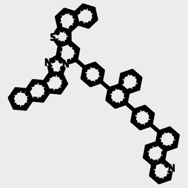 c1ccc2cc3c(ccc4c3nc3c5sc6ccc7ccccc7c6c5cc(-c5ccc(-c6ccc(-c7ccc(-c8cccc9c8ccc8cccnc89)cc7)c7ccccc67)cc5)n43)cc2c1